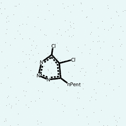 CCCCCc1nnnc(Cl)c1Cl